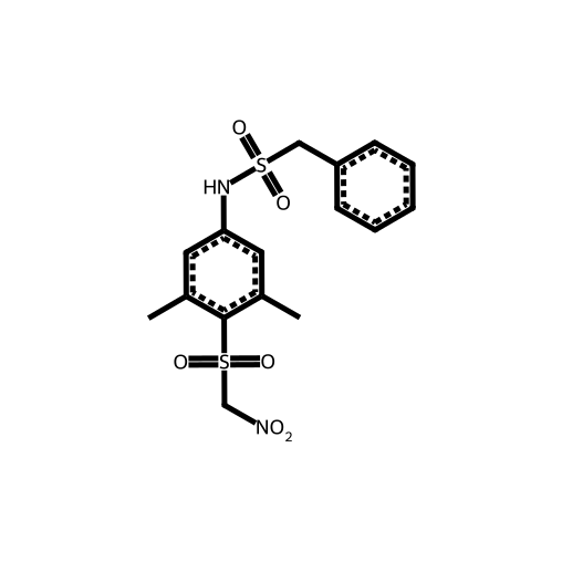 Cc1cc(NS(=O)(=O)Cc2ccccc2)cc(C)c1S(=O)(=O)C[N+](=O)[O-]